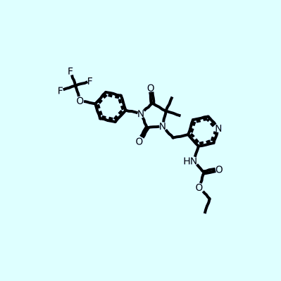 CCOC(=O)Nc1cnccc1CN1C(=O)N(c2ccc(OC(F)(F)F)cc2)C(=O)C1(C)C